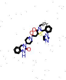 CC(C)CN1C(=O)C(CC(=O)N2CCC(N3Cc4ccccc4NC3=O)CC2)SC1c1ccccc1-n1ccnc1